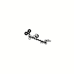 CC(C)(C)OC(=O)NCCCCCCOCC(COC(=O)OCC1c2ccccc2-c2ccccc21)OC1CCCCO1